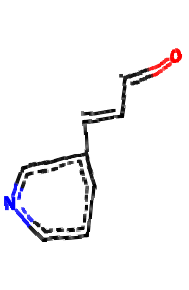 O=[C]/C=C/c1cccnc1